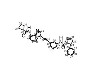 O=C(Nc1cccn2c(C#Cc3cccc(NC(=O)N4N=CCC4c4ccccc4)c3)cnc12)C1CCC1